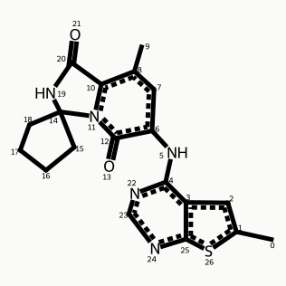 Cc1cc2c(Nc3cc(C)c4n(c3=O)C3(CCCC3)NC4=O)ncnc2s1